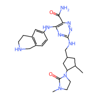 CC1CC(CNc2nnc(C(N)=O)c(Nc3ccc4c(c3)CCNC4)n2)CC1N1CCN(C)C1=O